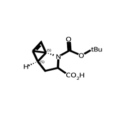 CC(C)(C)OC(=O)N1C(C(=O)O)C[C@H]2C3=C[C@]321